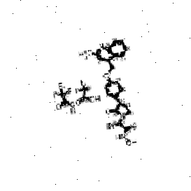 Cc1cc(COc2ccc(C3CCN(C(C(=O)NO)C(C)C)C3=O)cc2)c2ccccc2n1.O=C(O)C(F)(F)F.O=C(O)C(F)(F)F